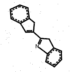 C1=C(C2=Nc3ccccc3C2)Cc2ccccc21